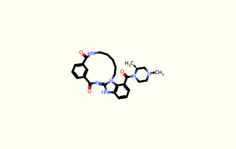 C[C@H]1CN(C)CCN1C(=O)c1cccc2c1N1CCCCCNC(=O)c3cccc(c3)C(=O)/N=C/1N2